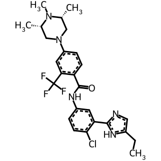 CCc1cnc(-c2cc(NC(=O)c3ccc(N4C[C@@H](C)N(C)[C@@H](C)C4)cc3C(F)(F)F)ccc2Cl)[nH]1